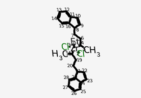 C[CH2][Zr]([Cl])([Cl])([CH](C)CCC1C=Cc2ccccc21)[CH](C)CCC1C=Cc2ccccc21